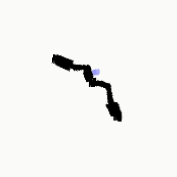 N#C/C=N/CC#N